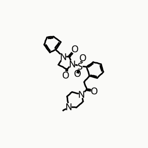 CN1CCN(C(=O)Cc2ccccc2S(=O)(=O)N2C(=O)CN(c3ccccc3)C2=O)CC1